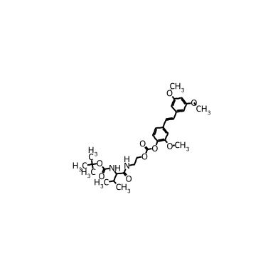 COc1cc(/C=C/c2ccc(OC(=O)OCCNC(=O)C(NC(=O)OC(C)(C)C)C(C)C)c(OC)c2)cc(OC)c1